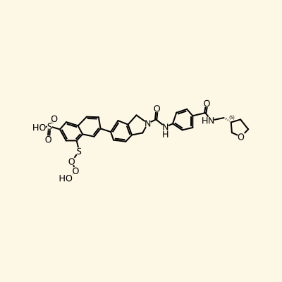 O=C(NC[C@@H]1CCOC1)c1ccc(NC(=O)N2Cc3ccc(-c4ccc5cc(S(=O)(=O)O)cc(SOOO)c5c4)cc3C2)cc1